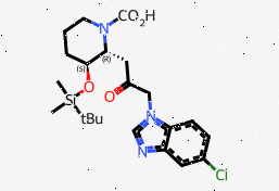 CC(C)(C)[Si](C)(C)O[C@H]1CCCN(C(=O)O)[C@@H]1CC(=O)Cn1cnc2cc(Cl)ccc21